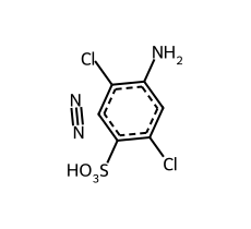 N#N.Nc1cc(Cl)c(S(=O)(=O)O)cc1Cl